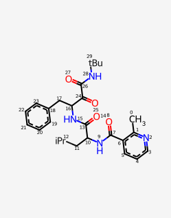 Cc1ncccc1C(=O)NC(CC(C)C)C(=O)NC(Cc1ccccc1)C(=O)C(=O)NC(C)(C)C